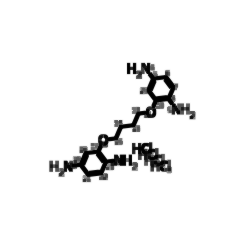 Cl.Cl.Cl.Cl.Nc1ccc(N)c(OCCCCOc2cc(N)ccc2N)c1